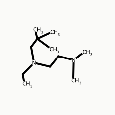 CCN(CCN(C)C)CC(C)(C)C